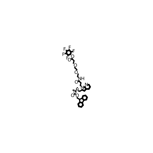 CN(Cc1cc2cccnc2n1CCC(=O)NCCOCCOCCC(=O)Oc1c(F)c(F)c(F)c(F)c1F)N(C)C(=O)OCC1c2ccccc2-c2ccccc21